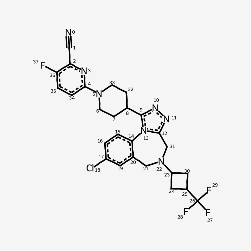 N#Cc1nc(N2CCC(c3nnc4n3-c3ccc(Cl)cc3CN(C3CC(C(F)(F)F)C3)C4)CC2)ccc1F